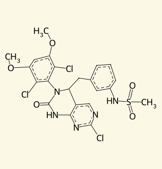 COc1cc(OC)c(Cl)c(N2C(=O)Nc3nc(Cl)ncc3C2Cc2cccc(NS(C)(=O)=O)c2)c1Cl